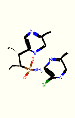 Cc1cnc(Br)cn1.Cc1cnc([C@@H](C)[C@H](C)S(N)(=O)=O)cn1